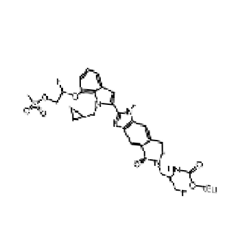 Cn1c(-c2cc3cccc(OC(F)COS(C)(=O)=O)c3n2CC2CC2)nc2cc3c(cc21)CCN(CC(CF)NC(=O)OC(C)(C)C)C3=O